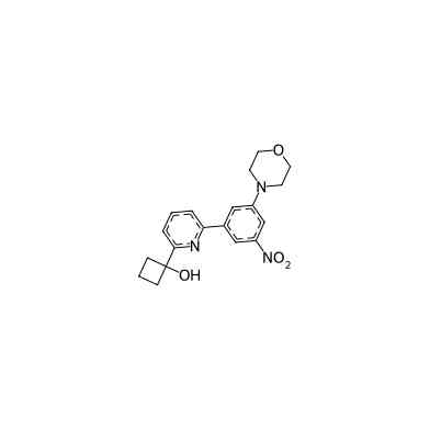 O=[N+]([O-])c1cc(-c2cccc(C3(O)CCC3)n2)cc(N2CCOCC2)c1